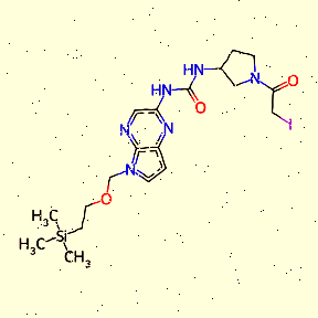 C[Si](C)(C)CCOCn1ccc2nc(NC(=O)NC3CCN(C(=O)CI)C3)cnc21